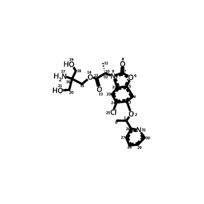 CC(Oc1cc2oc(=O)n([C@@H](C)C(=O)OCC(N)(CO)CO)c2cc1Cl)c1ccccn1